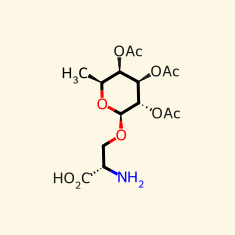 CC(=O)O[C@H]1[C@H](OC(C)=O)[C@@H](OC[C@H](N)C(=O)O)O[C@@H](C)[C@H]1OC(C)=O